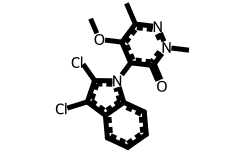 COc1c(C)nn(C)c(=O)c1-n1c(Cl)c(Cl)c2ccccc21